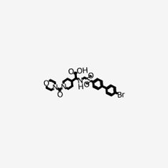 O=C(O)C(NCS(=O)(=O)c1ccc(-c2ccc(Br)cc2)cc1)C1CCN(C(=O)N2CCOCC2)CC1